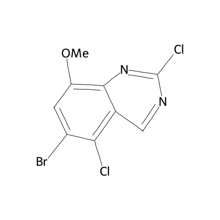 COc1cc(Br)c(Cl)c2cnc(Cl)nc12